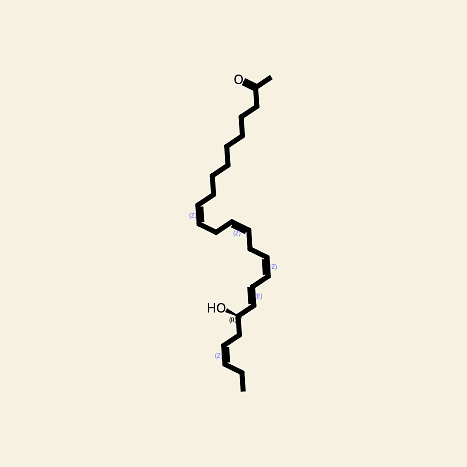 CC/C=C\C[C@@H](O)/C=C/C=C\C/C=C\C/C=C\CCCCCCCC(C)=O